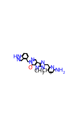 Cn1c(Cc2cccc(N)n2)nc2c3cnn(Cc4cccc5[nH]ncc45)c(=O)c3n(C)c21